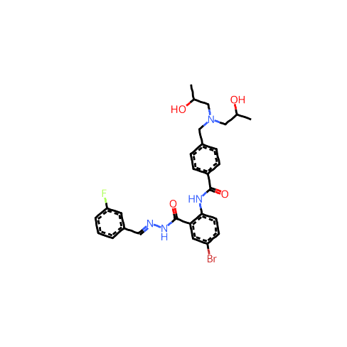 CC(O)CN(Cc1ccc(C(=O)Nc2ccc(Br)cc2C(=O)NN=Cc2cccc(F)c2)cc1)CC(C)O